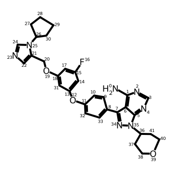 Nc1ncnc2c1c(-c1ccc(Oc3cc(F)cc(OCc4cncn4C4CCCC4)c3)cc1)nn2C1CCOCC1